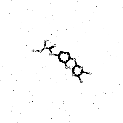 CCCCON(CCC)C(=O)Nc1ccc(Oc2cnc(Br)c(Br)n2)c(C)c1